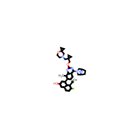 C#Cc1c(F)ccc2cc(O)cc(-c3c(Cl)cc4c(N5CC6CCC(C5)N6)nc(OCC5(CN6CCOC7(CC7)C6)CC5)nc4c3C)c12